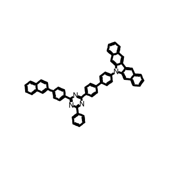 c1ccc(-c2nc(-c3ccc(-c4ccc(-n5c6cc7ccccc7cc6c6cc7ccccc7cc65)cc4)cc3)nc(-c3ccc(-c4ccc5ccccc5c4)cc3)n2)cc1